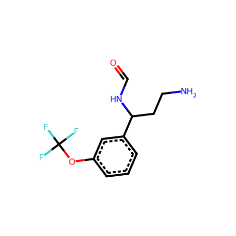 NCCC(NC=O)c1cccc(OC(F)(F)F)c1